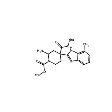 Cc1cccc2nc(C3(C(=O)OC(C)(C)C)CCN(C(=O)OC(C)(C)C)C(N)C3)[nH]c12